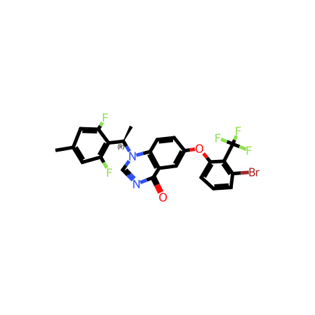 Cc1cc(F)c([C@@H](C)n2cnc(=O)c3cc(Oc4cccc(Br)c4C(F)(F)F)ccc32)c(F)c1